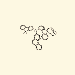 CC1(C)c2ccccc2-c2ccc(N(c3ccc4c(ccc5ccccc54)c3)c3cccc4c3-c3ccccc3C43C4CC5CC(C4)CC3C5)cc21